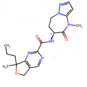 CCCC1(C)OCc2cnc(C(=O)N[C@H]3CCn4nccc4N(C)C3=O)nc21